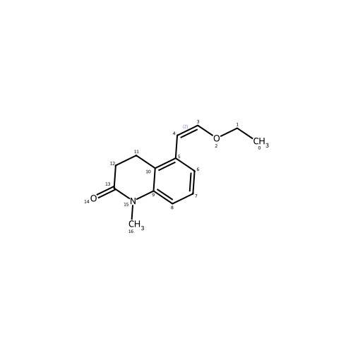 CCO/C=C\c1cccc2c1CCC(=O)N2C